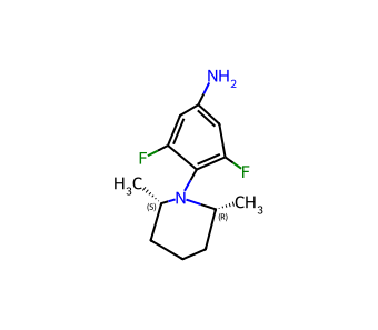 C[C@@H]1CCC[C@H](C)N1c1c(F)cc(N)cc1F